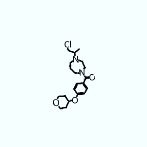 CC(CCl)N1CCCN(C(=O)c2ccc(OC3CCOCC3)cc2)CC1